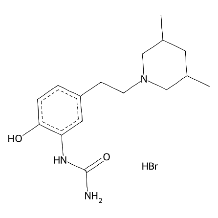 Br.CC1CC(C)CN(CCc2ccc(O)c(NC(N)=O)c2)C1